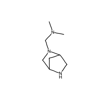 CN(C)CN1CC2CC1CN2